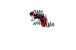 COc1cccc(OC)c1C1CCN(C(=O)c2cn(CC(C(=O)C(Cn3cc(C(=O)N4CCC(c5c(OC)cccc5OC)CC4)c4ccc(Cl)cc43)N3CCN(C)CC3)N3CCN(C)CC3)c3cc(Cl)ccc23)CC1